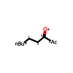 CCCCCCC(=O)C(C)=O